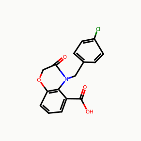 O=C(O)c1cccc2c1N(Cc1ccc(Cl)cc1)C(=O)CO2